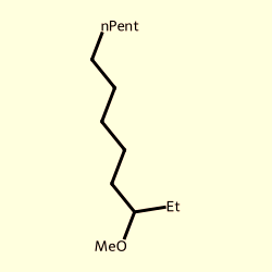 [CH2]OC(CC)CCCCCCCCCC